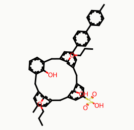 CCCOc1c2cc(C)cc1Cc1cc(S(=O)(=O)O)cc(c1O)Cc1cc(-c3ccc(-c4ccc(C)cc4)cc3)cc(c1OCCC)Cc1cccc(c1O)C2